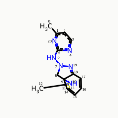 Cc1ccnc(NN2CC34NC(C)SC3=CC=CC4=N2)n1